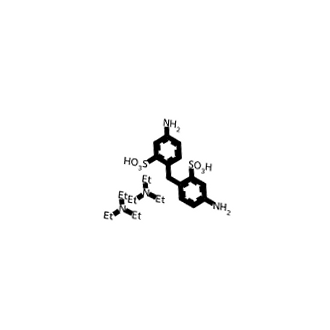 CCN(CC)CC.CCN(CC)CC.Nc1ccc(Cc2ccc(N)cc2S(=O)(=O)O)c(S(=O)(=O)O)c1